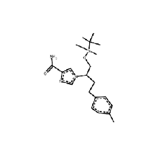 Cc1ccc(CCC(CO[Si](C)(C)C(C)(C)C)n2cnc(C(N)=O)c2)cc1